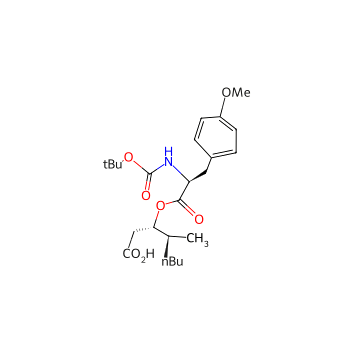 CCCC[C@H](C)[C@H](CC(=O)O)OC(=O)[C@H](Cc1ccc(OC)cc1)NC(=O)OC(C)(C)C